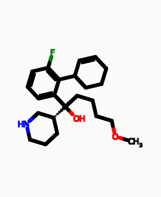 COCCCCC(O)(c1cccc(F)c1C1C=CCCC1)[C@@H]1CCCNC1